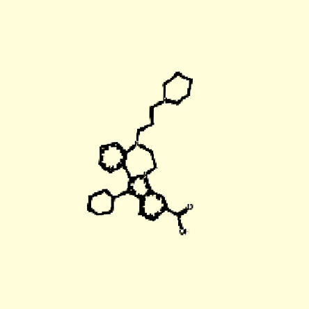 O=C(O)c1ccc2c(C3CCCCC3)c3n(c2c1)CCN(CCCN1CCCCC1)c1ccccc1-3